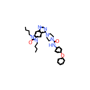 CCCCn1c(=O)n(CCCC)c2cc3c(N4CCN(C(=O)Nc5ccc(Oc6ccccc6)cc5)CC4)ncnc3cc21